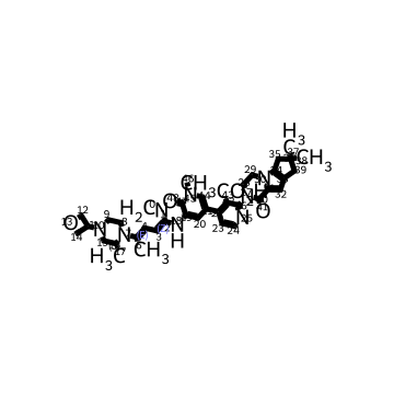 C=N/C(=C\C=C(/C)N1CCN(C2COC2)C[C@@H]1C)Nc1cc(-c2ccnc(N3CCn4c(cc5c4CC(C)(C)C5)C3=O)c2C(=O)O)cn(C)c1=O